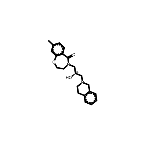 Cc1ccc2c(c1)OCCN(C[C@H](O)CN1CCc3ccccc3C1)C2=O